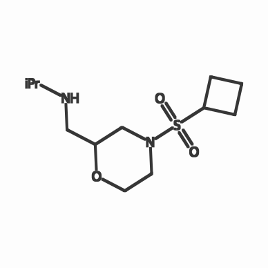 CC(C)NCC1CN(S(=O)(=O)C2CCC2)CCO1